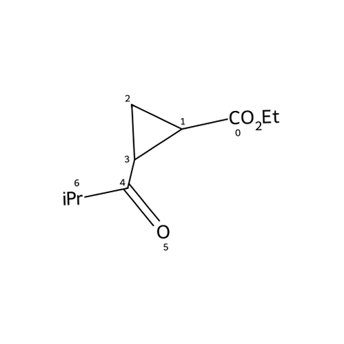 CCOC(=O)C1CC1C(=O)C(C)C